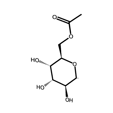 CC(=O)OC[C@H]1O[CH][C@@H](O)[C@H](O)[C@@H]1O